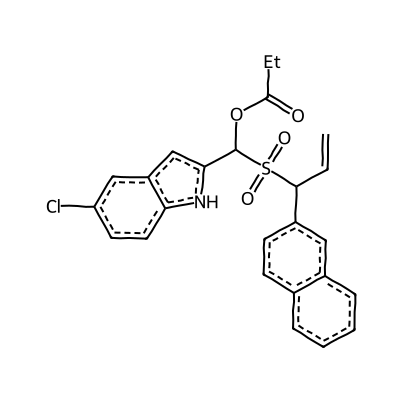 C=CC(c1ccc2ccccc2c1)S(=O)(=O)C(OC(=O)CC)c1cc2cc(Cl)ccc2[nH]1